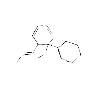 COC1(C2CCCCC2)N=CC=CC1C=NO